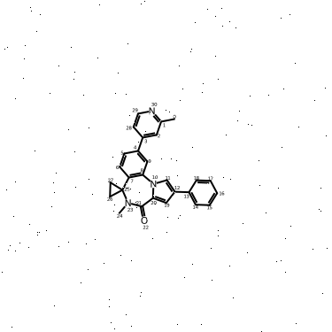 Cc1cc(-c2ccc3c(c2)-n2cc(-c4ccccc4)cc2C(=O)N(C)C32CC2)ccn1